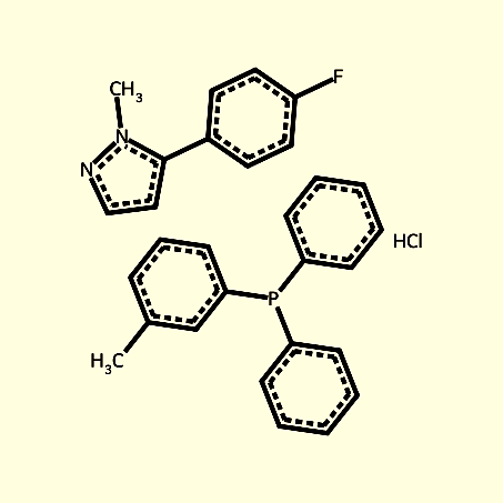 Cc1cccc(P(c2ccccc2)c2ccccc2)c1.Cl.Cn1nccc1-c1ccc(F)cc1